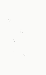 c1cc2ccn(-c3cc4c(cn3)CCCN4)c2cn1